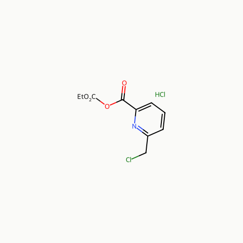 CCOC(=O)OC(=O)c1cccc(CCl)n1.Cl